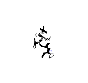 C=C/C(Cl)=C\C(=C)CN(N[S+]([O-])C(C)(C)C)C(C)=O